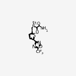 CCN(Cc1ccc(-c2noc(C(F)(F)F)n2)s1)C(=O)C(N)=O